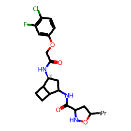 CC(C)C1CC(C(=O)NC2C[C@H](NC(=O)COc3ccc(Cl)c(F)c3)C3CCC23)NO1